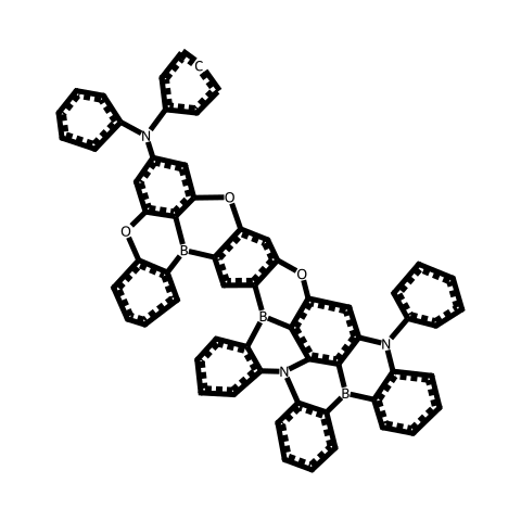 c1ccc(N(c2ccccc2)c2cc3c4c(c2)Oc2cc5c(cc2B4c2ccccc2O3)B2c3ccccc3N3c4ccccc4B4c6ccccc6N(c6ccccc6)c6cc(c2c3c64)O5)cc1